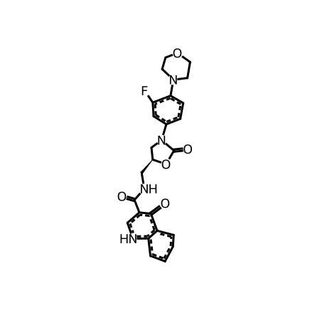 O=C(NC[C@H]1CN(c2ccc(N3CCOCC3)c(F)c2)C(=O)O1)c1c[nH]c2ccccc2c1=O